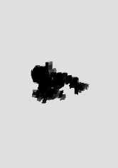 C[C@@H]1Cc2c([nH]c3ccccc23)[C@@H](c2c(F)cc(OCCN3CC(C(F)F)C3)cc2F)N1CC(C)(C)F